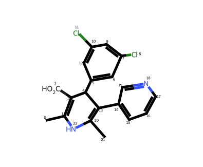 CC1=C(C(=O)O)C(c2cc(Cl)cc(Cl)c2)C(c2cccnc2)=C(C)N1